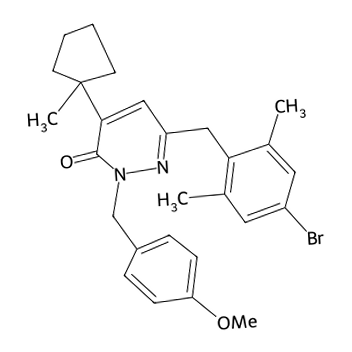 COc1ccc(Cn2nc(Cc3c(C)cc(Br)cc3C)cc(C3(C)CCCC3)c2=O)cc1